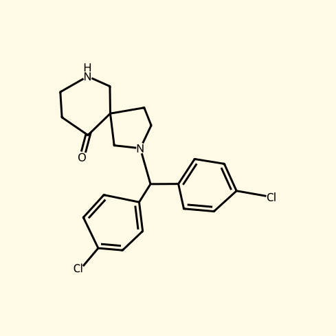 O=C1CCNCC12CCN(C(c1ccc(Cl)cc1)c1ccc(Cl)cc1)C2